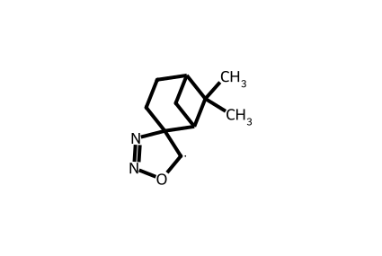 CC1(C)C2CCC3([CH]ON=N3)C1C2